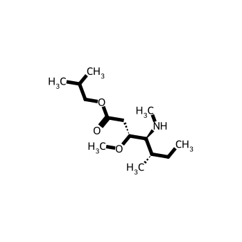 CC[C@H](C)[C@H](NC)[C@@H](CC(=O)OCC(C)C)OC